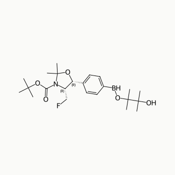 CC(C)(C)OC(=O)N1[C@@H](CF)[C@@H](c2ccc(BOC(C)(C)C(C)(C)O)cc2)OC1(C)C